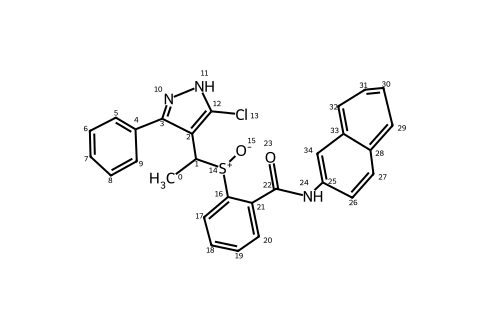 CC(c1c(-c2ccccc2)n[nH]c1Cl)[S+]([O-])c1ccccc1C(=O)Nc1ccc2ccccc2c1